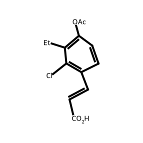 CCc1c(OC(C)=O)ccc(C=CC(=O)O)c1Cl